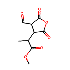 COC(=O)C(C)C1C(=O)OC(=O)C1C=O